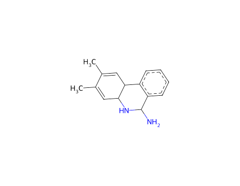 CC1=CC2NC(N)c3ccccc3C2C=C1C